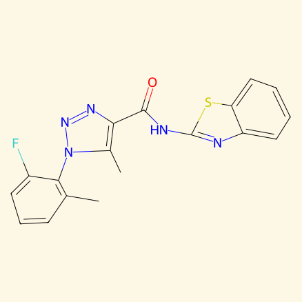 Cc1cccc(F)c1-n1nnc(C(=O)Nc2nc3ccccc3s2)c1C